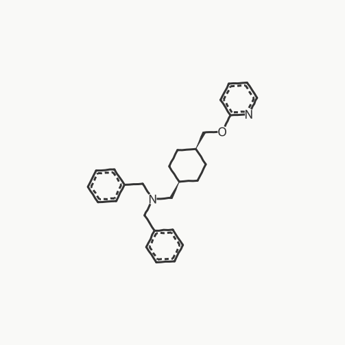 c1ccc(CN(Cc2ccccc2)C[C@H]2CC[C@@H](COc3ccccn3)CC2)cc1